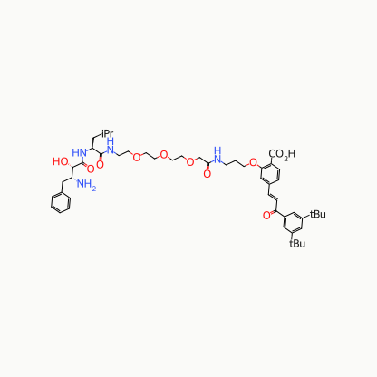 CC(C)C[C@H](NC(=O)[C@@H](O)[C@H](N)Cc1ccccc1)C(=O)NCCOCCOCCOCC(=O)NCCCOc1cc(/C=C/C(=O)c2cc(C(C)(C)C)cc(C(C)(C)C)c2)ccc1C(=O)O